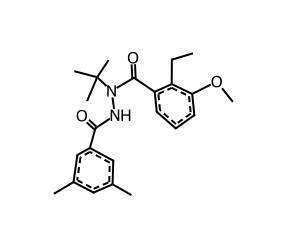 CCc1c(OC)cccc1C(=O)N(NC(=O)c1cc(C)cc(C)c1)C(C)(C)C